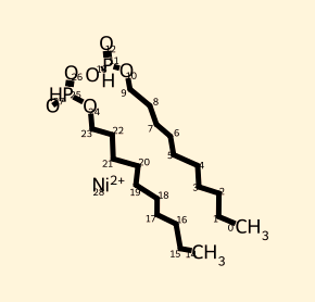 CCCCCCCCCCO[PH](=O)[O-].CCCCCCCCCCO[PH](=O)[O-].[Ni+2]